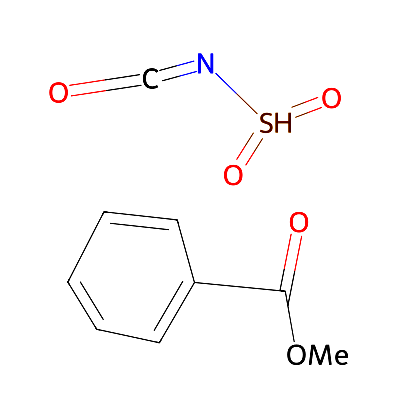 COC(=O)c1ccccc1.O=C=N[SH](=O)=O